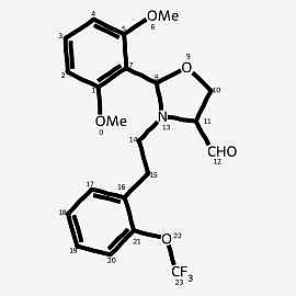 COc1cccc(OC)c1C1OCC(C=O)N1CCc1ccccc1OC(F)(F)F